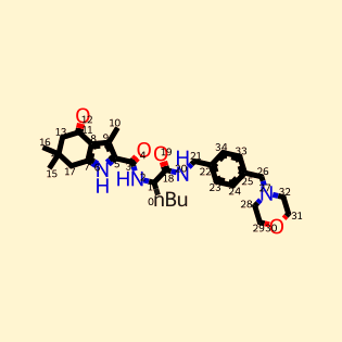 CCCCC(NC(=O)c1[nH]c2c(c1C)C(=O)CC(C)(C)C2)C(=O)NCc1ccc(CN2CCOCC2)cc1